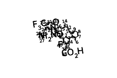 Cc1cc(-c2c(C)cccc2CCC(C)CCC(C(N)=O)n2cc(CCN(C)C)c(C(F)(F)F)cc2=O)cc(CCC(=O)O)c1F